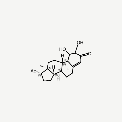 CC(=O)[C@H]1CC[C@H]2[C@@H]3CCC4=CC(=O)C(O)C(O)[C@]4(C)[C@H]3CC[C@]12C